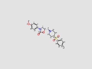 COc1ccc(N2C[C@H](CN3CCC(S(=O)(=O)c4ccc(C)cc4)CC3)OC2=O)cc1